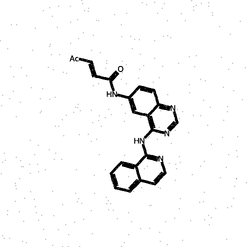 CC(=O)C=CC(=O)Nc1ccc2ncnc(Nc3nccc4ccccc34)c2c1